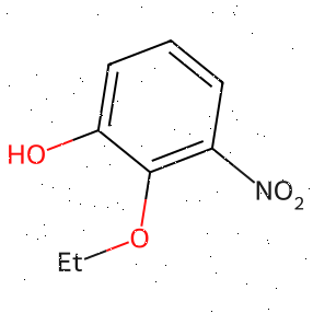 CCOc1c(O)cccc1[N+](=O)[O-]